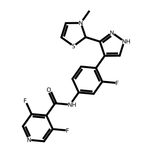 CN1C=CSC1c1n[nH]cc1-c1ccc(NC(=O)c2c(F)cncc2F)cc1F